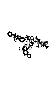 CC[C@@H]1C[C@]1(NC(=O)[C@@H]1C[C@@H](Oc2ncc(OC)c3ccc(Cl)cc23)CN1C(=O)[C@H](Nc1ccc(C(=O)NC(C)(C)c2ccccc2)cc1)C(C)(C)C)C(=O)NS(=O)(=O)C1CC1